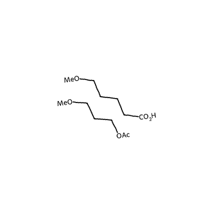 COCCCCC(=O)O.COCCCOC(C)=O